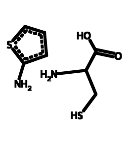 NC(CS)C(=O)O.Nc1cccs1